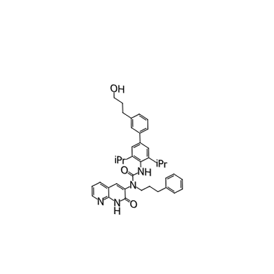 CC(C)c1cc(-c2cccc(CCCO)c2)cc(C(C)C)c1NC(=O)N(CCCc1ccccc1)c1cc2cccnc2[nH]c1=O